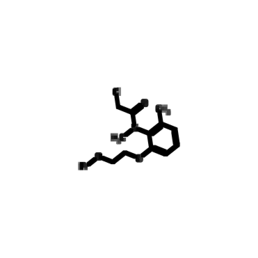 Cc1cccc(OCCOC(C)C)c1N(C)C(=O)CCl